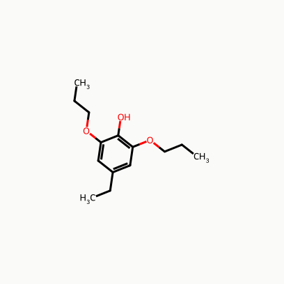 CCCOc1cc(CC)cc(OCCC)c1O